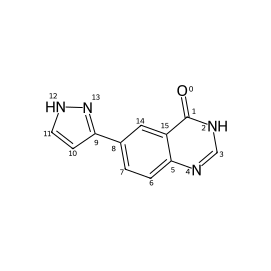 O=c1[nH]cnc2ccc(-c3cc[nH]n3)cc12